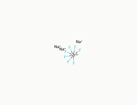 [F][Zr-3]([F])([F])([F])([F])([F])[F].[Na+].[Na+].[Na+]